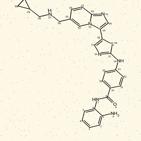 Nc1ccccc1NC(=O)c1ccc(Nc2ncc(-c3cnc4ccc(CNCC5CC5)cn34)s2)cc1